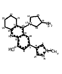 Cl.Cn1cc(-c2ccc3nc4c(c(N5CCC(N)C5)c3c2)CCCC4)cn1